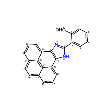 O=Cc1ccccc1-c1nc2c3cccc4ccc5cccc(c2[nH]1)c5c43